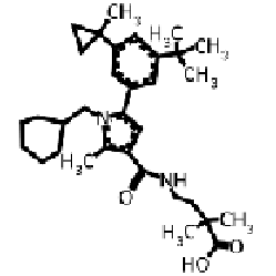 Cc1c(C(=O)NCCC(C)(C)C(=O)O)cc(-c2cc(C(C)(C)C)cc(C3(C)CC3)c2)n1CC1CCCCC1